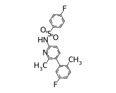 Cc1ccc(F)cc1-c1ccc(NS(=O)(=O)c2ccc(F)cc2)nc1C